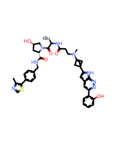 Cc1ncsc1-c1ccc(CNC(=O)[C@@H]2C[C@@H](O)CN2C(=O)C(NC(=O)CCN(C)C23CC(c4cc5cc(-c6ccccc6O)nnc5[nH]4)(C2)C3)C(C)(C)C)cc1